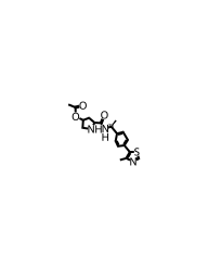 CC(=O)OC1CNC(C(=O)N[C@@H](C)c2ccc(-c3scnc3C)cc2)C1